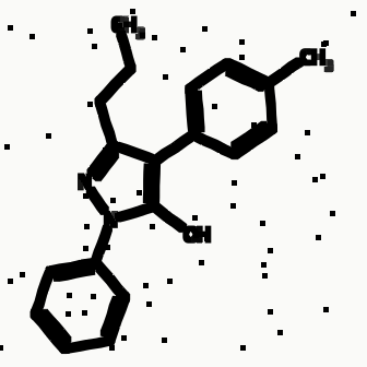 CCCc1nn(-c2ccccc2)c(O)c1-c1ccc(C)cc1